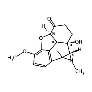 COc1ccc2c3c1O[C@H]1C(=O)CC[C@@]4(O)[C@@H]5N(C)C25C[C@]314